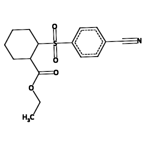 CCOC(=O)C1CCCCC1S(=O)(=O)c1ccc(C#N)cc1